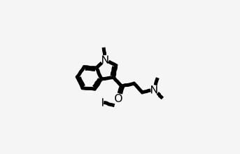 CI.CN(C)CCC(=O)c1cn(C)c2ccccc12